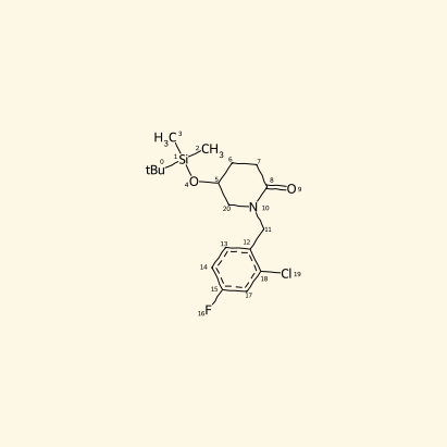 CC(C)(C)[Si](C)(C)OC1CCC(=O)N(Cc2ccc(F)cc2Cl)C1